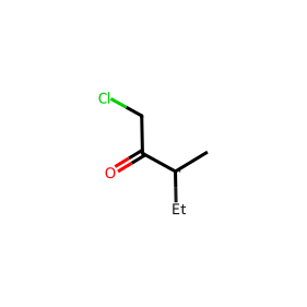 CC[C](C)C(=O)CCl